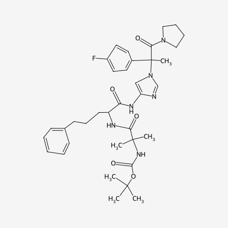 CC(C)(C)OC(=O)NC(C)(C)C(=O)NC(CCCc1ccccc1)C(=O)Nc1cn(C(C)(C(=O)N2CCCC2)c2ccc(F)cc2)cn1